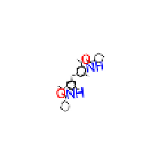 CCc1cc(Cc2cc(C)c(NC(=O)C3CCCCC3)c(CC)c2)cc(C)c1NC(=O)C1CCCCC1